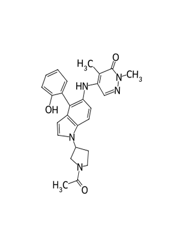 CC(=O)N1CCC(n2ccc3c(-c4ccccc4O)c(Nc4cnn(C)c(=O)c4C)ccc32)C1